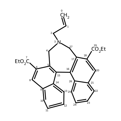 C=CCN1Cc2c(C(=O)OCC)cc3ccccc3c2-c2c(c(C(=O)OCC)cc3ccccc23)C1